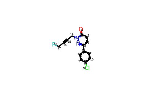 O=c1ccc(-c2ccc(Cl)cc2)nn1CC#CCF